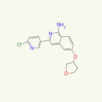 Nc1nc(-c2ccc(Cl)nc2)cc2cc(OC3CCOC3)ccc12